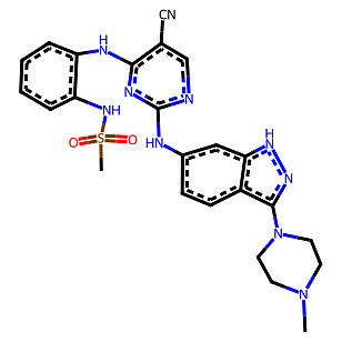 CN1CCN(c2n[nH]c3cc(Nc4ncc(C#N)c(Nc5ccccc5NS(C)(=O)=O)n4)ccc23)CC1